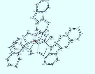 CC1C/C=C(c2c(-n3c4ccccc4c4cc5ccccc5cc43)ccc3oc4ccccc4c23)/N=C(c2cccc3ccccc23)\N=C/1c1ccc2c(c1)oc1ccccc12